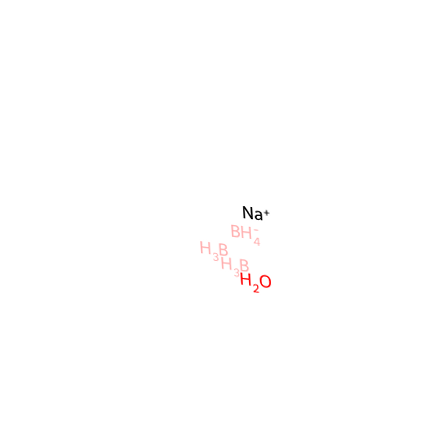 B.B.O.[BH4-].[Na+]